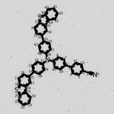 N#Cc1ccc(-c2ccc(N(c3ccc(-c4ccc5sc6ccccc6c5c4)cc3)c3ccc(-c4ccc5sc6ccccc6c5c4)cc3)cc2)cc1